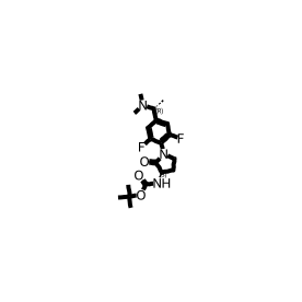 C[C@H](c1cc(F)c(N2CC[C@H](NC(=O)OC(C)(C)C)C2=O)c(F)c1)N(C)C